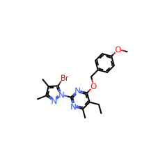 CCc1c(C)nc(-n2nc(C)c(C)c2Br)nc1OCc1ccc(OC)cc1